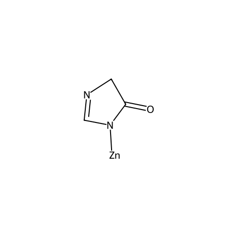 O=C1CN=C[N]1[Zn]